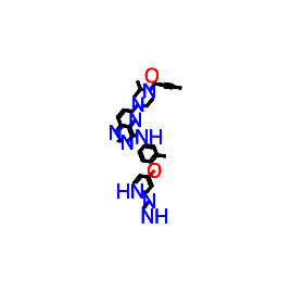 CC#CC(=O)N1CCN(c2ccc3ncnc(Nc4ccc(Oc5cc[nH]/c(=N\C=N)c5)c(C)c4)c3n2)CC1C